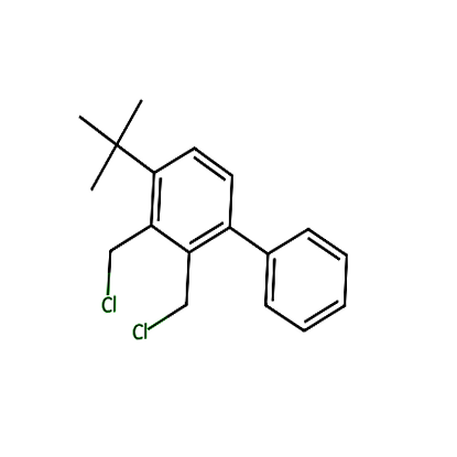 CC(C)(C)c1ccc(-c2ccccc2)c(CCl)c1CCl